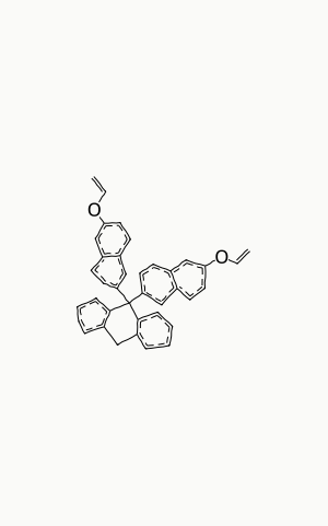 C=COc1ccc2cc(C3(c4ccc5cc(OC=C)ccc5c4)c4ccccc4Cc4ccccc43)ccc2c1